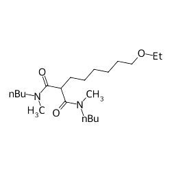 CCCCN(C)C(=O)C(CCCCCCOCC)C(=O)N(C)CCCC